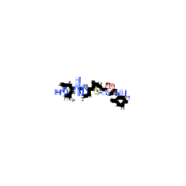 C=C1CC(Nc2nccc(-c3ccc(C(=O)N[C@@H](Cc4ccccc4)C(N)=O)s3)n2)CC(C)(C)N1